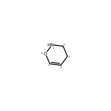 [C]1CC=CON1